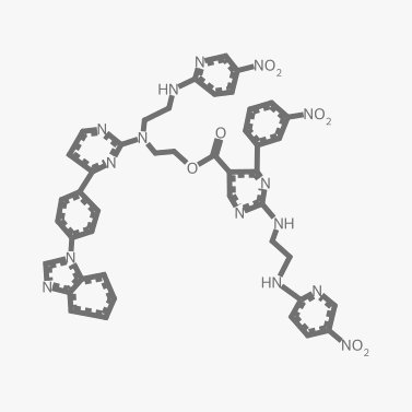 O=C(OCCN(CCNc1ccc([N+](=O)[O-])cn1)c1nccc(-c2ccc(-n3cnc4ccccc43)cc2)n1)c1cnc(NCCNc2ccc([N+](=O)[O-])cn2)nc1-c1cccc([N+](=O)[O-])c1